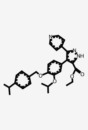 CCOC(=O)c1[nH]nc(-c2ccncc2)c1-c1ccc(OCc2ccc(C(C)C)cc2)c(OC(C)C)c1